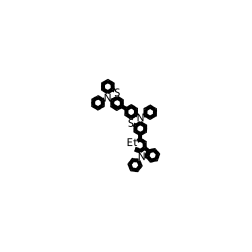 C=C1C(CC(CC)C2CCC3C(C2)SC2CC(C4C=CC5C(C4)SC4CCCCC4N5C4CCCCC4)CCC2N3C2CCCCC2)C2=C(CCCC2)N1C1CCCCC1